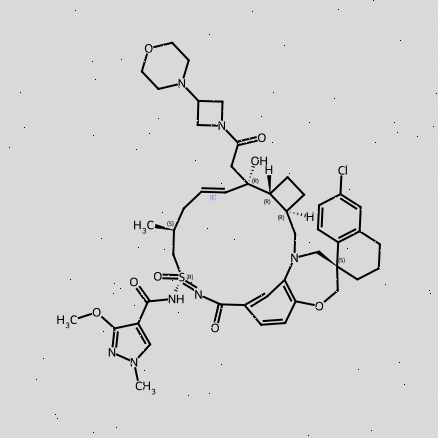 COc1nn(C)cc1C(=O)N[S@@]1(=O)=NC(=O)c2ccc3c(c2)N(C[C@@H]2CC[C@H]2[C@](O)(CC(=O)N2CC(N4CCOCC4)C2)/C=C/C[C@H](C)C1)C[C@@]1(CCCc2cc(Cl)ccc21)CO3